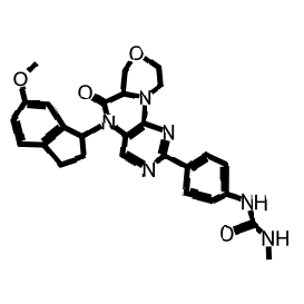 CNC(=O)Nc1ccc(-c2ncc3c(n2)N2CCOCC2C(=O)N3C2CCc3ccc(OC)cc32)cc1